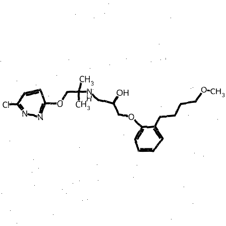 COCCCCc1ccccc1OCC(O)CNC(C)(C)COc1ccc(Cl)nn1